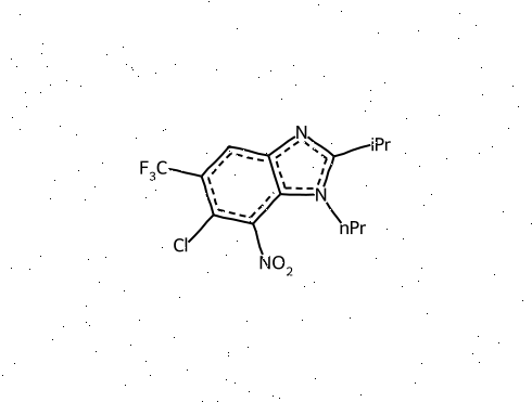 CCCn1c(C(C)C)nc2cc(C(F)(F)F)c(Cl)c([N+](=O)[O-])c21